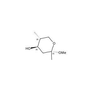 CO[C@]1(C)C[C@@H](O)[C@H](C)CO1